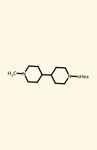 CCCCCCN1CCC(C2CCN(C)CC2)CC1